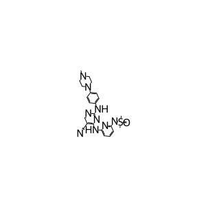 CN1CCN(c2ccc(Nc3ncc(C#N)c(Nc4cccc(N=S(C)(C)=O)n4)n3)cc2)CC1